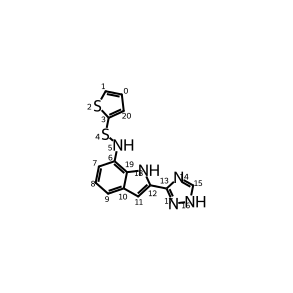 c1csc(SNc2cccc3cc(-c4nc[nH]n4)[nH]c23)c1